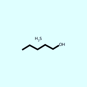 CCCCCO.S